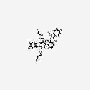 CCCCOC[C@H]1O[C@@](O)(c2cccc(Cc3cc(C)c4cccccc3-4)c2)[C@H](OCCCC)[C@@H](OCCCC)[C@@H]1OCCCC